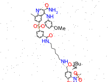 COc1cccc(Nc2c(C(N)=O)cnc3c(C)cc(S(=O)(=O)c4cccc(C(=O)NCCCCCCNC[C@H](O[Si](C)(C)C(C)(C)C)c5ccc(O)c(NS(C)(=O)=O)c5)c4)cc23)c1